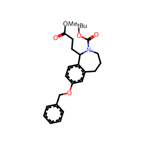 COC(=O)CCC1c2ccc(OCc3ccccc3)cc2CCCN1C(=O)OC(C)(C)C